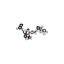 COc1cc(OCCCc2c(C(=O)OC(C)(C)C)n(CCN3CCN(C(=O)COc4cccc5c4C(=O)N(C4CCC(=O)NC4=O)C5=O)CC3)c3c(-c4c(C)nn(C)c4C)c(Cl)ccc23)c2ccccc2c1